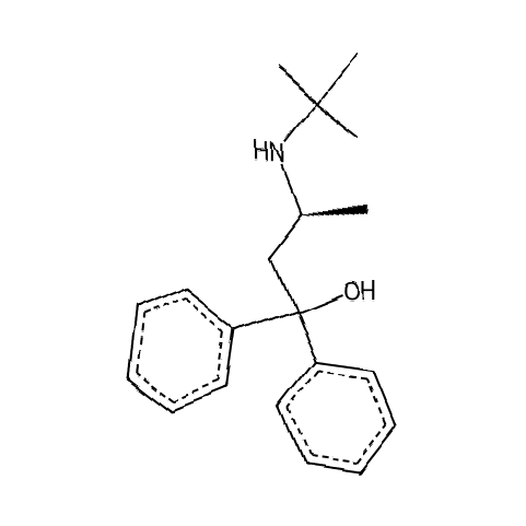 C[C@@H](CC(O)(c1ccccc1)c1ccccc1)NC(C)(C)C